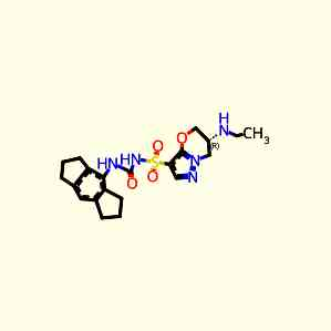 CCN[C@H]1COc2c(S(=O)(=O)NC(=O)Nc3c4c(cc5c3CCC5)CCC4)cnn2C1